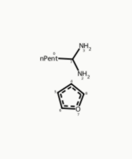 CCCCCC(N)N.c1ccoc1